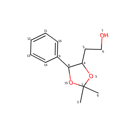 CC1(C)OC(CCO)C(c2ccccc2)O1